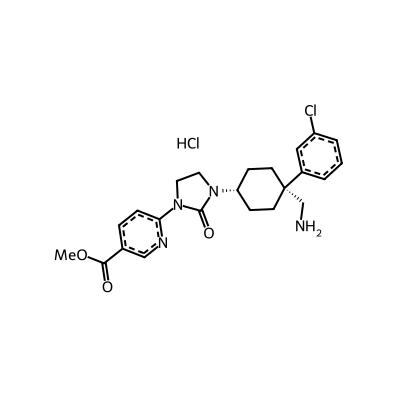 COC(=O)c1ccc(N2CCN([C@H]3CC[C@](CN)(c4cccc(Cl)c4)CC3)C2=O)nc1.Cl